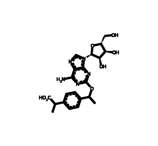 CC(Oc1nc(N)c2ncn([C@@H]3O[C@H](CO)[C@@H](O)[C@H]3O)c2n1)c1ccc(C(C)C(=O)O)cc1